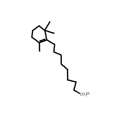 CCOC(=O)CCCCCCCCC1=C(C)CCCC1(C)C